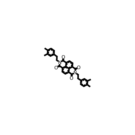 Cc1ccc(CCN2C(=O)c3ccc4c5c(ccc(c35)C2=O)C(=O)N(CCc2ccc(C)c(C)c2)C4=O)cc1C